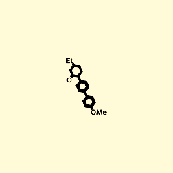 CCC1CCC(c2ccc(-c3ccc(OC)cc3)cc2)C(=O)C1